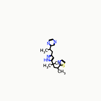 CC(Cc1cc(C(C)(C)CC(C)c2nccs2)[nH]n1)c1cnccn1